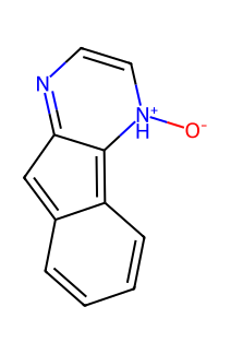 [O-][NH+]1C=CN=C2C=c3ccccc3=C21